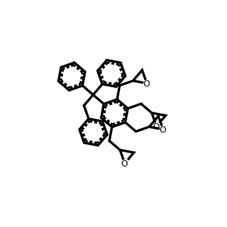 c1ccc(CC(c2ccccc2)(c2ccccc2)c2cc(CC3CO3)c(CC3CO3)c(CC3CO3)c2CC2CO2)cc1